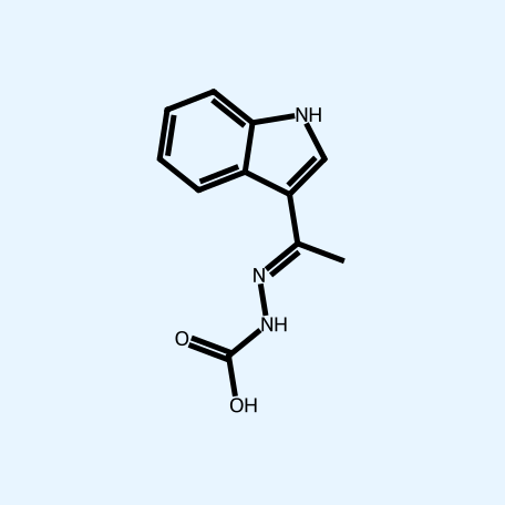 CC(=NNC(=O)O)c1c[nH]c2ccccc12